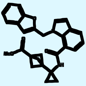 COC(=O)C12CC(C3(NC(=O)c4cccc5ccn(Cc6cc7ccccc7o6)c45)CC3)(C1)C2